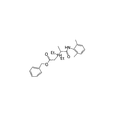 CC[PH](CC)(CC(=O)OCc1ccccc1)C(C)C(=O)Nc1c(C)cccc1C